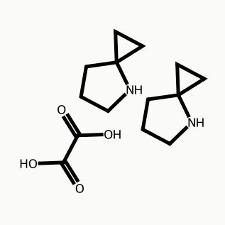 C1CNC2(C1)CC2.C1CNC2(C1)CC2.O=C(O)C(=O)O